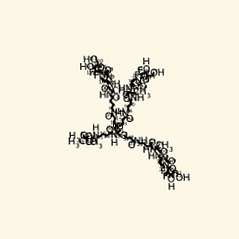 C[C@H](NC(=O)CCCNC(=O)CCOCC(COCCC(=O)NCCCC(=O)N[C@@H](C)C(=O)Nc1ccn([C@@H]2O[C@H](CO)[C@@H](O)C2(F)F)c(=O)n1)(COCCC(=O)NCCCC(=O)N[C@@H](C)C(=O)Nc1ccn([C@@H]2O[C@H](CO)[C@@H](O)C2(F)F)c(=O)n1)NC(=O)CCCNC(=O)OC(C)(C)C)C(=O)Nc1ccn([C@@H]2O[C@H](CO)[C@@H](O)C2(F)F)c(=O)n1